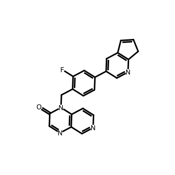 O=c1cnc2cnccc2n1Cc1ccc(-c2cnc3c(c2)C=CC3)cc1F